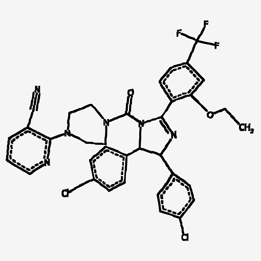 CCOc1cc(C(F)(F)F)ccc1C1=NC(c2ccc(Cl)cc2)C(c2ccc(Cl)cc2)N1C(=O)N1CCN(c2ncccc2C#N)CC1